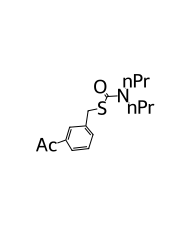 CCCN(CCC)C(=O)SCc1cccc(C(C)=O)c1